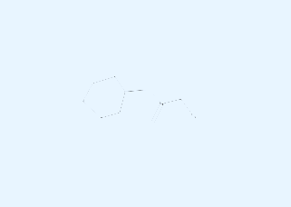 NCC(=O)OC1[CH]CCCC1